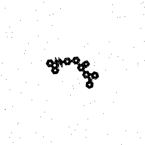 c1ccc(-n2c3ccccc3c3cc(-c4ccc(-c5cccc(-c6ccc(-c7cnc8c9ccccc9c9ccccc9c8n7)cc6)c5)c5c4C4CCC5C4)ccc32)cc1